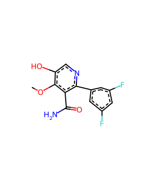 COc1c(O)cnc(-c2cc(F)cc(F)c2)c1C(N)=O